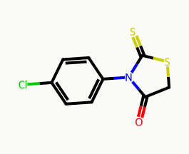 O=C1CSC(=S)N1c1ccc(Cl)cc1